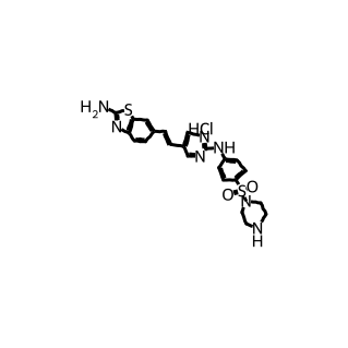 Cl.Nc1nc2ccc(C=Cc3cnc(Nc4ccc(S(=O)(=O)N5CCNCC5)cc4)nc3)cc2s1